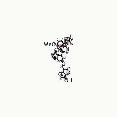 COc1ccc(CN2C3CC2CN(c2ncc(-c4cc(OCC5COC6C(O)COC56)cn5ncc(C#N)c45)cn2)C3)cn1